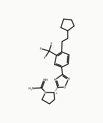 N=C(N)N1CCC[C@H]1c1nc(-c2ccc(CCC3CCCC3)c(C(F)(F)F)c2)no1